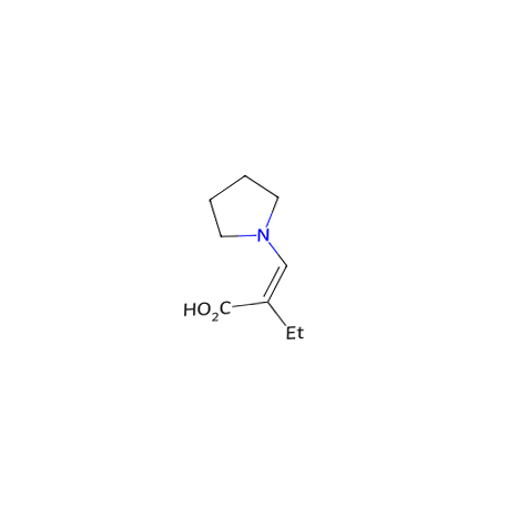 CCC(=CN1CCCC1)C(=O)O